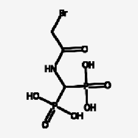 O=C(CBr)NC(P(=O)(O)O)P(=O)(O)O